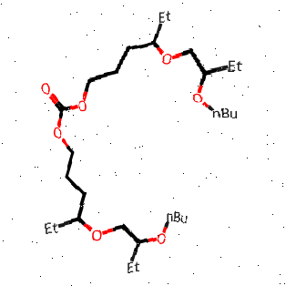 CCCCOC(CC)COC(CC)CCCOC(=O)OCCCC(CC)OCC(CC)OCCCC